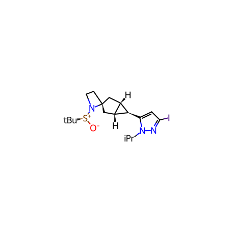 CC(C)n1nc(I)cc1[C@H]1[C@@H]2C[C@@]3(CCN3[S@@+]([O-])C(C)(C)C)C[C@@H]21